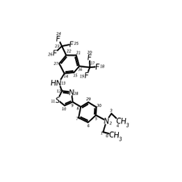 CCN(CC)c1ccc(-c2csc(Nc3cc(C(F)(F)F)cc(C(F)(F)F)c3)n2)cc1